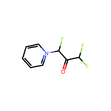 O=C(C(F)F)C(F)[n+]1ccccc1